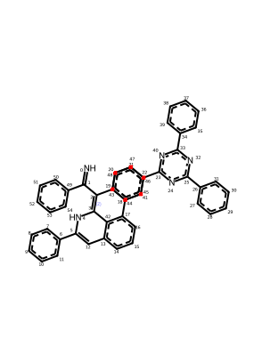 N=C(/C(=C1\NC(c2ccccc2)=Cc2cccc(-c3cccc(-c4nc(-c5ccccc5)nc(-c5ccccc5)n4)c3)c21)c1ccccc1)c1ccccc1